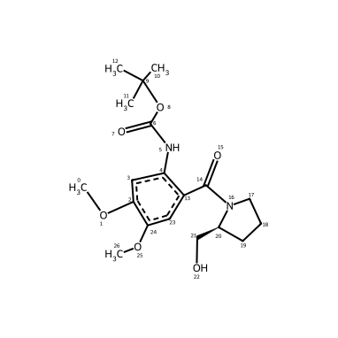 COc1cc(NC(=O)OC(C)(C)C)c(C(=O)N2CCC[C@H]2CO)cc1OC